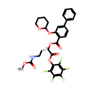 CC(C)(C)OC(=O)NCC[C@H](OC(=O)c1ccc(-c2ccccc2)cc1OC1CCCCO1)C(=O)Oc1c(F)c(F)c(F)c(F)c1F